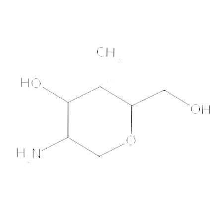 C[C@@H]1C(CO)OCC(N)C1O